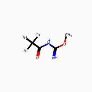 [2H]C([2H])([2H])C(=O)NC(=N)OC